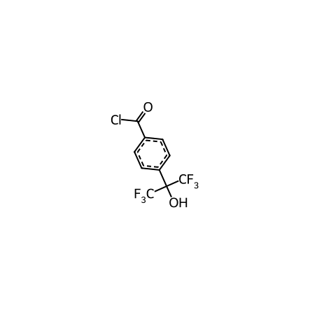 O=C(Cl)c1ccc(C(O)(C(F)(F)F)C(F)(F)F)cc1